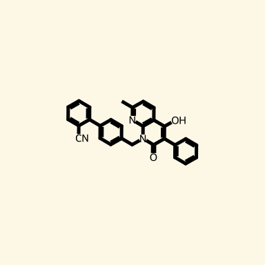 Cc1ccc2c(O)c(-c3ccccc3)c(=O)n(Cc3ccc(-c4ccccc4C#N)cc3)c2n1